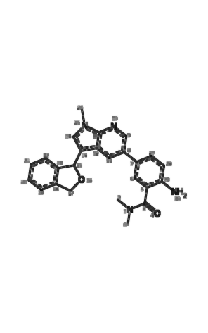 CN(C)C(=O)c1cc(-c2cnc3c(c2)c(C2OCc4ccccc42)cn3C)ccc1N